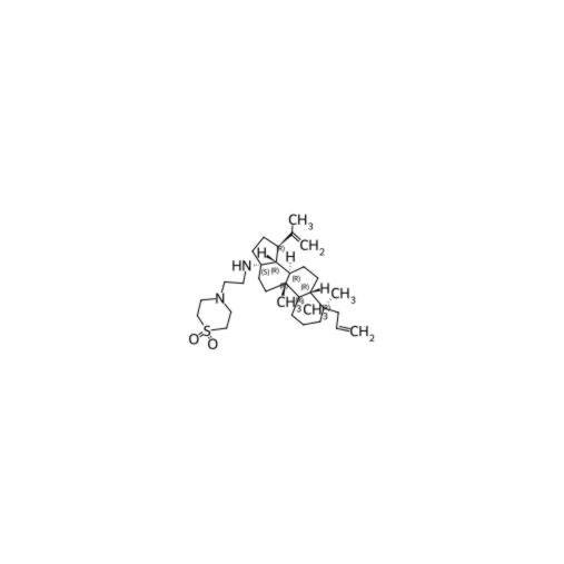 C=CC[C@@]1(C)CCC[C@]2(C)[C@@H]1CC[C@@H]1[C@H]3[C@H](C(=C)C)CC[C@]3(NCCN3CCS(=O)(=O)CC3)CC[C@]12C